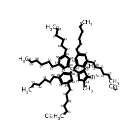 CCCCCCc1cc(CCCCCC)cc([Si](C2=C(C)[C]([Ti+3])=C(C)C2)(c2cc(CCCCCC)cc(CCCCCC)c2)c2cc(CCCCCC)cc(CCCCCC)c2)c1.[Cl-].[Cl-].[Cl-]